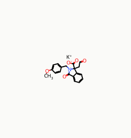 COc1ccc(CN2C(=O)c3ccccc3C2(CC=O)C(=O)[O-])cc1.[K+]